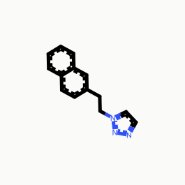 c1ccc2cc(CCn3ccnn3)ccc2c1